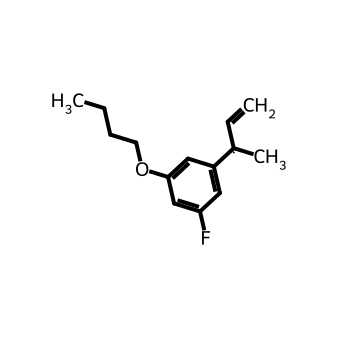 C=C[C](C)c1cc(F)cc(OCCCC)c1